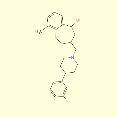 Cc1cccc2c1CCC(CN1CCC(c3cccc(F)c3)CC1)CC2O